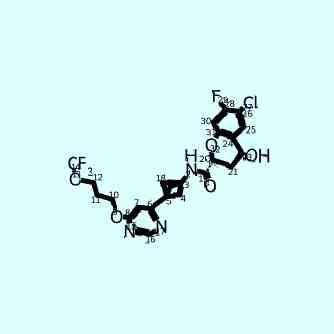 O=C(NC12CC(c3cc(OCCCOC(F)(F)F)ncn3)(C1)C2)[C@H]1C[C@@H](O)c2cc(Cl)c(F)cc2O1